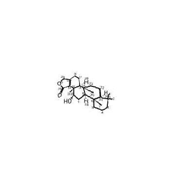 CC1(C)CCC[C@]2(C)[C@H]3C[C@@H](O)[C@]4(C)C5=C(CC[C@H]4[C@]3(C)CC[C@@H]12)COC5=O